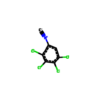 [C-]#[N+]c1cc(Cl)c(Cl)c(Cl)c1Cl